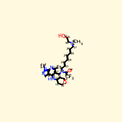 CCc1nc2c(cnn2CC)c(NC2CCOCC2)c1CN(CCCCCCCCN(C)CCO)C(=O)C(F)(F)F